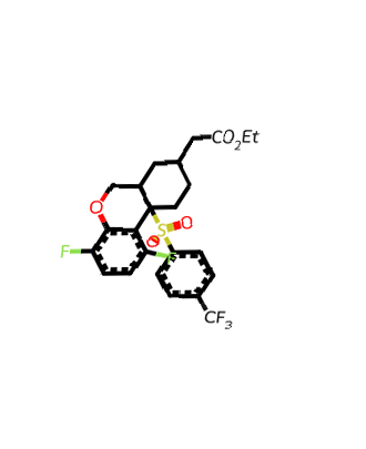 CCOC(=O)CC1CCC2(S(=O)(=O)c3ccc(C(F)(F)F)cc3)c3c(F)ccc(F)c3OCC2C1